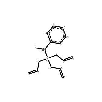 C=CC[Si](CC=C)(CC=C)N(C)c1ccccc1